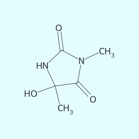 CN1C(=O)NC(C)(O)C1=O